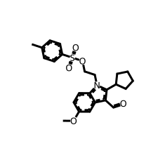 COc1ccc2c(c1)c(C=O)c(C1CCCC1)n2CCOS(=O)(=O)c1ccc(C)cc1